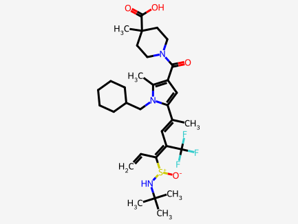 C=C/C(=C(\C=C(/C)c1cc(C(=O)N2CCC(C)(C(=O)O)CC2)c(C)n1CC1CCCCC1)C(F)(F)F)[S+]([O-])NC(C)(C)C